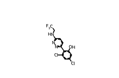 Oc1cc(Cl)cc(Cl)c1-c1ccc(NCC(F)(F)F)nn1